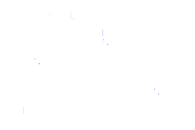 CCOC(=O)c1nc(C(F)(F)F)sc1NC1CCNC1=O